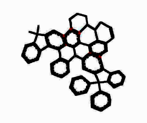 CC1(C)c2ccccc2-c2c(-c3ccccc3N(c3ccc4c(c3)C(c3ccccc3)(c3ccccc3)c3ccccc3-4)c3ccccc3-c3cccc4c3C(C3CCCCC3)CC=C4)cccc21